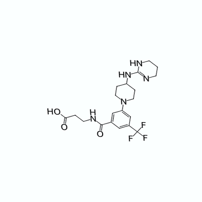 O=C(O)CCNC(=O)c1cc(N2CCC(NC3=NCCCN3)CC2)cc(C(F)(F)F)c1